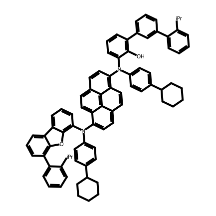 CC(C)c1ccccc1-c1cccc(-c2cccc(N(c3ccc(C4CCCCC4)cc3)c3ccc4ccc5c(N(c6ccc(C7CCCCC7)cc6)c6cccc7c6oc6c(-c8ccccc8C(C)C)cccc67)ccc6ccc3c4c65)c2O)c1